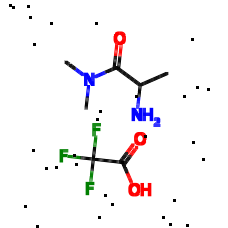 CC(N)C(=O)N(C)C.O=C(O)C(F)(F)F